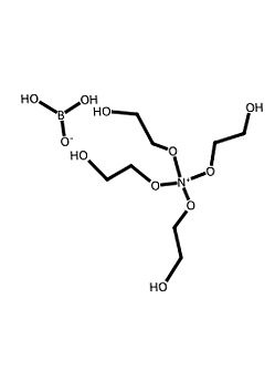 OCCO[N+](OCCO)(OCCO)OCCO.[O-]B(O)O